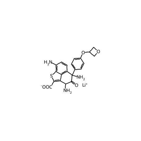 Nc1ccc2c3c(c(C(=O)[O-])sc13)C(N)C(=O)C2(N)c1ccc(OC2COC2)cc1.[Li+]